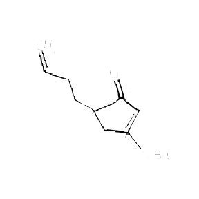 C=CCCC1CC(OCC(C)C)=CC1=O